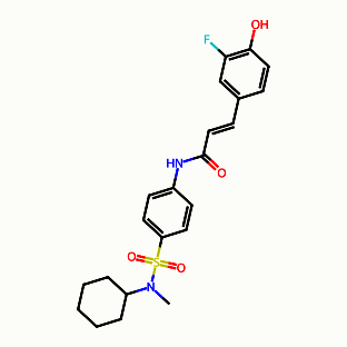 CN(C1CCCCC1)S(=O)(=O)c1ccc(NC(=O)C=Cc2ccc(O)c(F)c2)cc1